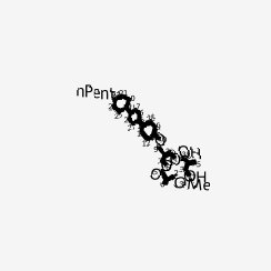 C=C(COC)C(=O)OCC(COc1ccc(C2CCC(C3CCC(CCCCC)CC3)CC2)cc1)COC(O)C(=C)CO